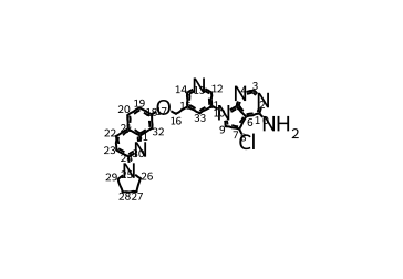 Nc1ncnc2c1c(Cl)cn2-c1cncc(COc2ccc3ccc(N4CCCC4)nc3c2)c1